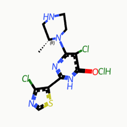 C[C@@H]1CNCCN1c1nc(-c2scnc2Cl)[nH]c(=O)c1Cl.Cl